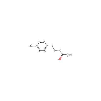 CCCc1ccc(CCCC(=O)OC)cc1